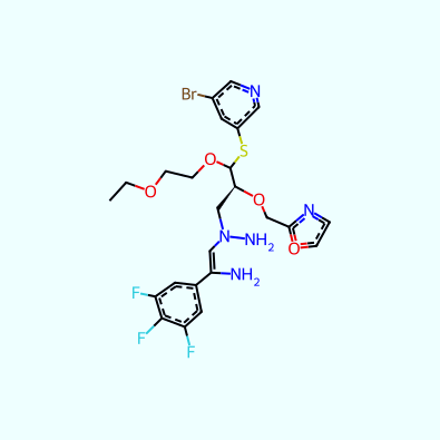 CCOCCOC(Sc1cncc(Br)c1)[C@H](CN(N)/C=C(\N)c1cc(F)c(F)c(F)c1)OCc1ncco1